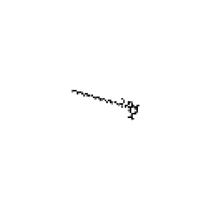 C=C(C)C1C=C2C(OC(=O)CCCCCCCCCCCCCCCCC)=CC=C2C(C)=CC1